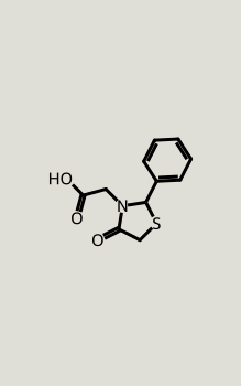 O=C(O)CN1C(=O)CSC1c1ccccc1